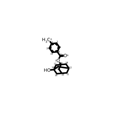 Cc1ccc(C(=O)OC23CC4CC(CC(O)(C4)C2)C3)cc1